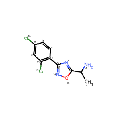 CC(N)c1nc(-c2ccc(Cl)cc2Cl)no1